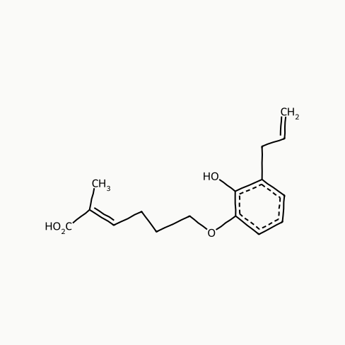 C=CCc1cccc(OCCCC=C(C)C(=O)O)c1O